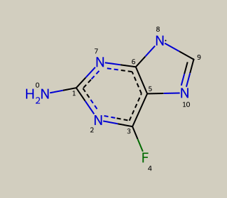 Nc1nc(F)c2c(n1)[N]C=N2